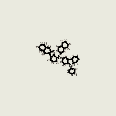 c1ccc(-n2c3ccccc3c3cc(N(c4ccc5ccccc5c4)c4cccc5c4sc4cc6ccccc6cc45)ccc32)cc1